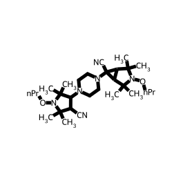 CCCON1C(C)(C)C(C#N)C(N2CCN(C3(C#N)C4C3C(C)(C)N(OCCC)C4(C)C)CC2)C1(C)C